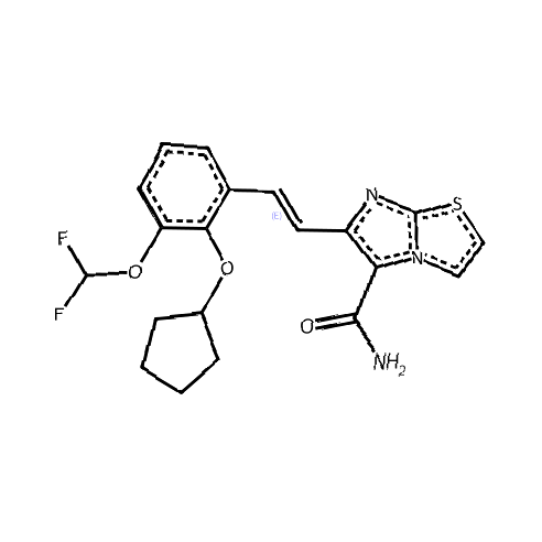 NC(=O)c1c(/C=C/c2cccc(OC(F)F)c2OC2CCCC2)nc2sccn12